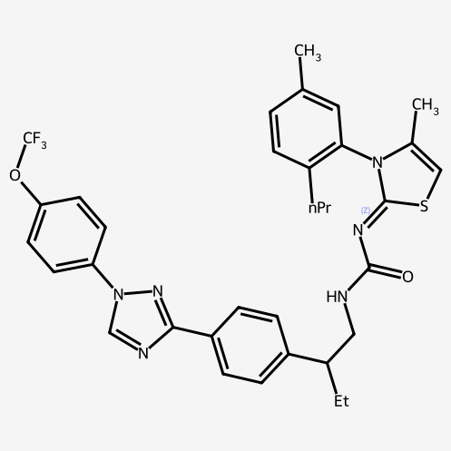 CCCc1ccc(C)cc1-n1c(C)cs/c1=N\C(=O)NCC(CC)c1ccc(-c2ncn(-c3ccc(OC(F)(F)F)cc3)n2)cc1